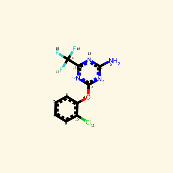 Nc1nc(Oc2ccccc2Cl)nc(C(F)(F)F)n1